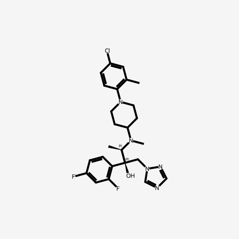 Cc1cc(Cl)ccc1N1CCC(N(C)[C@H](C)[C@](O)(Cn2cncn2)c2ccc(F)cc2F)CC1